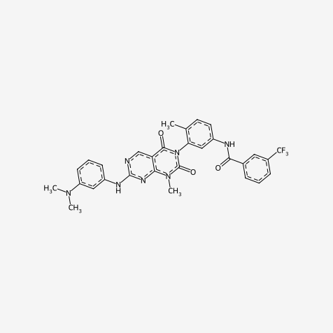 Cc1ccc(NC(=O)c2cccc(C(F)(F)F)c2)cc1-n1c(=O)c2cnc(Nc3cccc(N(C)C)c3)nc2n(C)c1=O